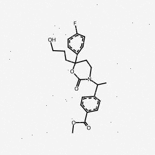 COC(=O)c1ccc(C(C)N2CCC(CCCO)(c3ccc(F)cc3)OC2=O)cc1